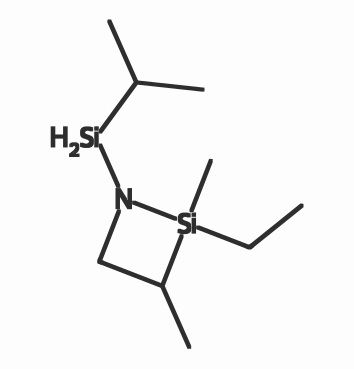 CC[Si]1(C)C(C)CN1[SiH2]C(C)C